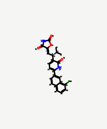 CC(C)[C@@H](/C=C1\OC(=O)NC1=O)c1ccc(-c2ccc3cccc(F)c3c2)[nH]c1=O